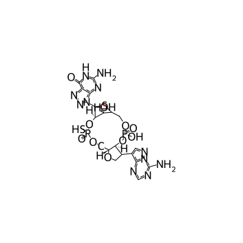 Nc1nc2c(nnn2C2SC3COP(=O)(O)O[C@H]4C(c5cnn6c(N)ncnc56)CO[C@@H]4COP(=O)(S)O[C@@H]2[C@@H]3O)c(=O)[nH]1